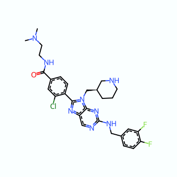 CN(C)CCNC(=O)c1ccc(-c2nc3cnc(NCc4ccc(F)c(F)c4)nc3n2C[C@@H]2CCCNC2)c(Cl)c1